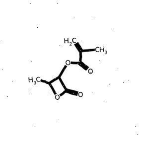 C=C(C)C(=O)OC1C(=O)OC1C